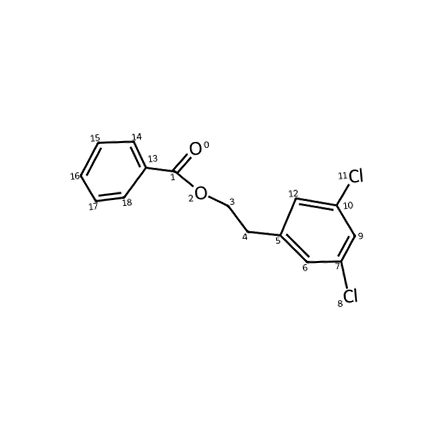 O=C(OCCc1cc(Cl)cc(Cl)c1)c1ccccc1